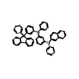 c1ccc(N(c2cccc(N(c3ccccc3)c3ccc4ccccc4c3)c2)c2cccc(C3(c4ccccc4)c4ccccc4-c4ccccc43)c2)cc1